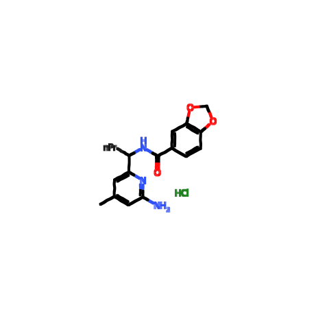 CCCC(NC(=O)c1ccc2c(c1)OCO2)c1cc(C)cc(N)n1.Cl